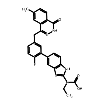 CCN(C(=O)O)c1nc2cc(-c3cc(Cc4n[nH]c(=O)c5ccc(C)cc45)ccc3F)ccc2[nH]1